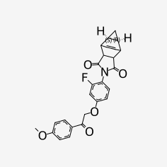 COc1ccc(C(=O)COc2ccc(N3C(=O)C4C(C3=O)C3C=CC4[C@H]4C[C@@H]34)c(F)c2)cc1